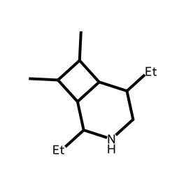 CCC1CNC(CC)C2C(C)C(C)C12